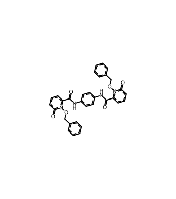 O=C(Nc1ccc(NC(=O)c2cccc(=O)n2OCc2ccccc2)cc1)c1cccc(=O)n1OCc1ccccc1